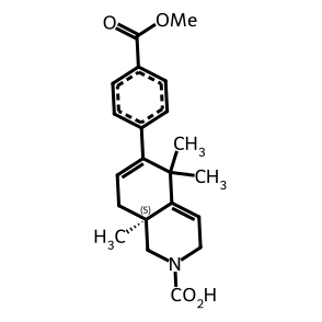 COC(=O)c1ccc(C2=CC[C@]3(C)CN(C(=O)O)CC=C3C2(C)C)cc1